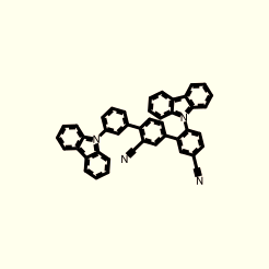 N#Cc1ccc(-n2c3ccccc3c3ccccc32)c(-c2ccc(-c3cccc(-n4c5ccccc5c5ccccc54)c3)c(C#N)c2)c1